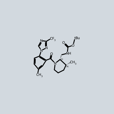 Cc1ccc(-n2cnc(C(F)(F)F)n2)c(C(=O)N2CCC[C@@H](C)[C@H]2CNC(=O)OC(C)(C)C)c1